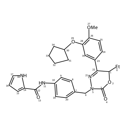 CCC1OC(=O)N(Cc2ccc(NC(=O)c3ccc[nH]3)cc2)N=C1c1ccc(OC)c(OC2CCCC2)c1